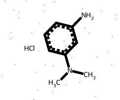 CN(C)c1cccc(N)c1.Cl